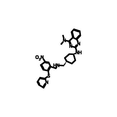 CN(C)c1nc(N[C@H]2CC[C@@H](CNCc3cc([N+](=O)[O-])ccc3Sc3ccccn3)CC2)nc2ccccc12